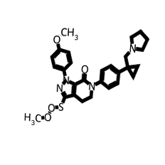 COOSc1nn(-c2ccc(OC)cc2)c2c1CCN(c1ccc(C3(CN4CCCC4)CC3)cc1)C2=O